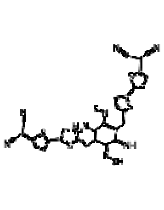 N#CC(C#N)=c1cc/c(=c2/cc/c(=C\C3=C(N=S)C(N)=C(/C=c4\cc/c(=c5/ccc(=C(C#N)C#N)s5)s4)/C(=N/S)C3=N)s2)s1